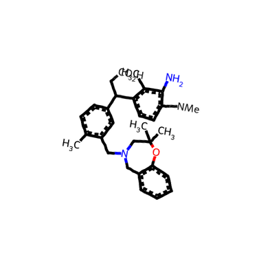 CNc1ccc(C(CC(=O)O)c2ccc(C)c(CN3Cc4ccccc4OC(C)(C)C3)c2)c(C)c1N